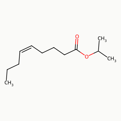 CCC/C=C\CCCC(=O)OC(C)C